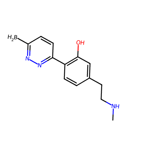 Bc1ccc(-c2ccc(CCNC)cc2O)nn1